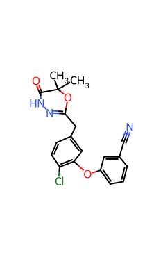 CC1(C)OC(Cc2ccc(Cl)c(Oc3cccc(C#N)c3)c2)=NNC1=O